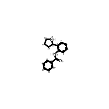 O=C(Nc1ccccc1C1CCCN1)c1ccccc1